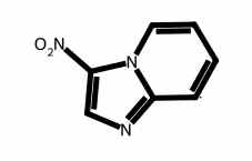 O=[N+]([O-])c1cnc2[c]cccn12